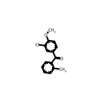 COc1ccc(C(=O)c2ccccc2C)cc1Cl